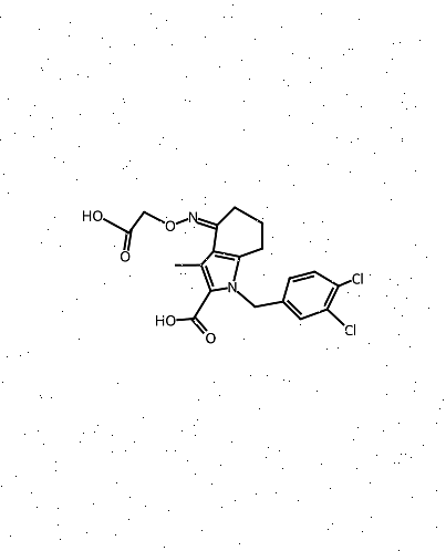 Cc1c2c(n(Cc3ccc(Cl)c(Cl)c3)c1C(=O)O)CCC/C2=N/OCC(=O)O